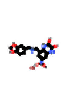 Br.O=c1[nH]c2cc([N+](=O)[O-])cc(CNCc3ccc4c(c3)OCO4)c2[nH]c1=O